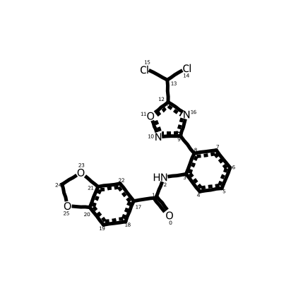 O=C(Nc1ccccc1-c1noc(C(Cl)Cl)n1)c1ccc2c(c1)OCO2